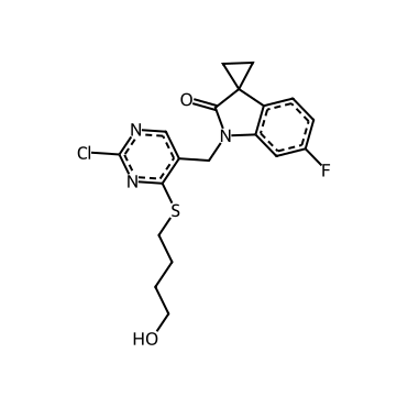 O=C1N(Cc2cnc(Cl)nc2SCCCCO)c2cc(F)ccc2C12CC2